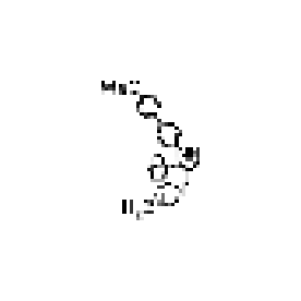 COc1ccc(-c2ccc(-n3ncc(CN4CCN(C)CC4)c3-c3ccco3)cc2)cc1